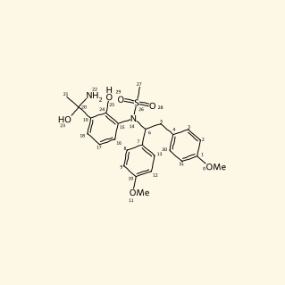 COc1ccc(CC(c2ccc(OC)cc2)N(c2cccc(C(C)(N)O)c2O)S(C)(=O)=O)cc1